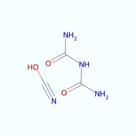 N#CO.NC(=O)NC(N)=O